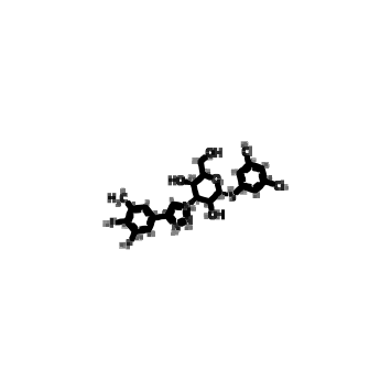 Cc1cc(-c2cn([C@@H]3C(O)[C@@H](Sc4cc(Cl)cc(Cl)c4)OC(CO)[C@@H]3O)nn2)cc(F)c1F